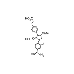 COC1=C(c2ccc(CCC(=O)O)cc2)C(=O)N(c2ccc(C(=N)N)cc2F)C1.Cl